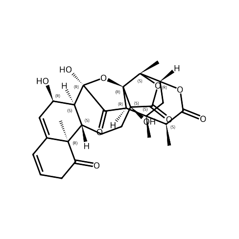 C[C@@H]1C(=O)O[C@@H]2C[C@@]1(C)[C@H]1C(=O)[C@]3(O)O[C@@]14[C@@](O)(CC[C@H]1[C@H]3[C@H](O)C=C3C=CCC(=O)[C@@]31C)C(=O)O[C@@]24C